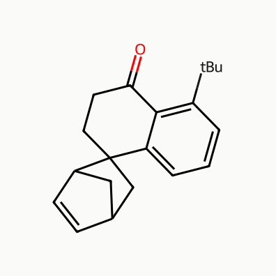 CC(C)(C)c1cccc2c1C(=O)CCC21CC2C=CC1C2